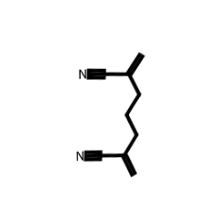 C=C(C#N)CCCC(=C)C#N